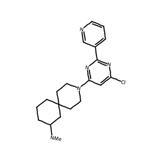 CNC1CCCC2(CCN(c3cc(Cl)nc(-c4cccnc4)n3)CC2)C1